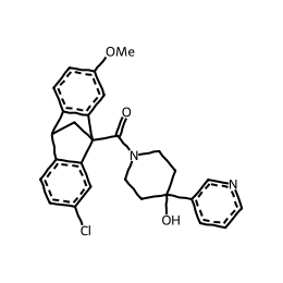 COc1ccc2c(c1)C1(C(=O)N3CCC(O)(c4cccnc4)CC3)CC2c2ccc(Cl)cc21